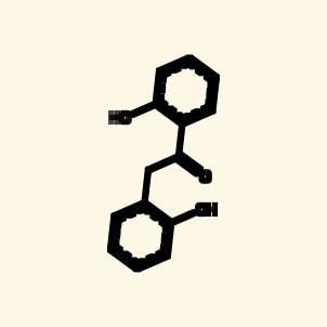 O=C(Cc1ccccc1O)c1ccccc1O